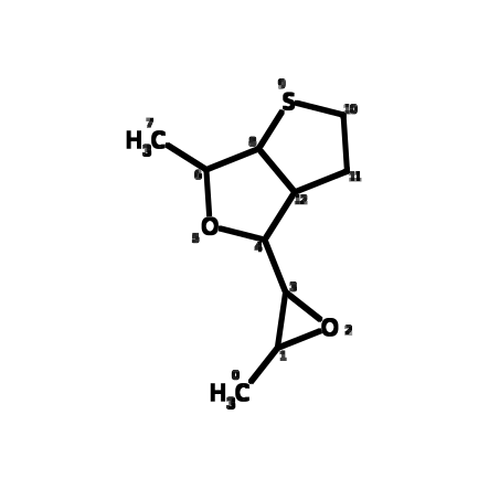 CC1OC1C1OC(C)C2SCCC12